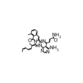 C\C=C/C=C\C(C)=C(/C)n1c(CNc2ncnc(N)c2C(=N)/C=C/C(N)=O)cc2cccc(C)c2c1=O